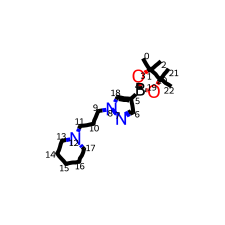 CC1(C)OB(c2cnn(CCCN3CCCCC3)c2)OC1(C)C